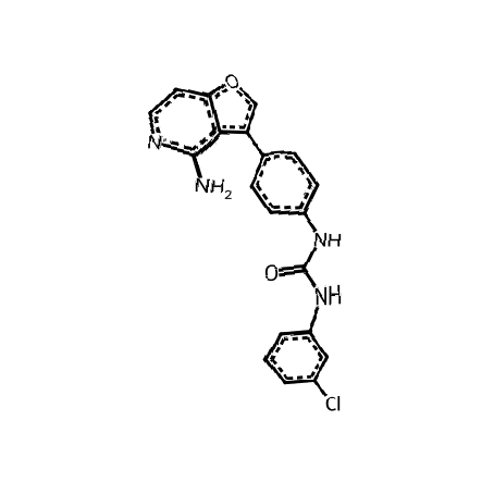 Nc1nccc2occ(-c3ccc(NC(=O)Nc4cccc(Cl)c4)cc3)c12